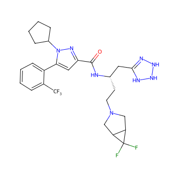 O=C(N[C@@H](CCN1CC2C(C1)C2(F)F)CC1=NNNN1)c1cc(-c2ccccc2C(F)(F)F)n(C2CCCC2)n1